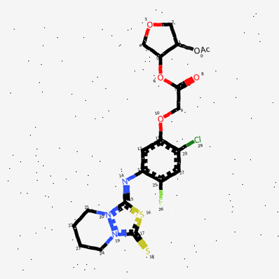 CC(=O)OC1COCC1OC(=O)COc1cc(N=c2sc(=S)n3n2CCCC3)c(F)cc1Cl